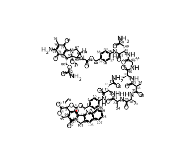 CC[C@@]1(OC(=O)OCc2ccc(NC(=O)[C@H](CC(N)=O)NC(=O)[C@H](C)NC(=O)[C@H](C)NC(=O)C(C)C(=O)N[C@@H](C)C(=O)N[C@@H](C)C(=O)N[C@@H](CC(N)=O)C(=O)Nc3ccc(COC(=O)N4C5[C@@H]4CN4C6=C(C(=O)C(N)=C(C)C6=O)[C@@H](COC(N)=O)[C@@]54OC)cc3)cc2)C(=O)OCc2c1cc1n(c2=O)Cc2cc3ccccc3nc2-1